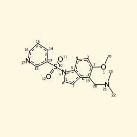 COc1ccc2c(ccn2S(=O)(=O)c2cccnc2)c1CN(C)C